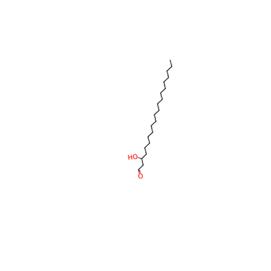 CCCCCCCCCCCCCCCCCCC(O)CC=O